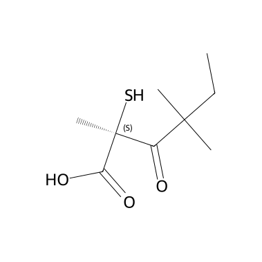 CCC(C)(C)C(=O)[C@](C)(S)C(=O)O